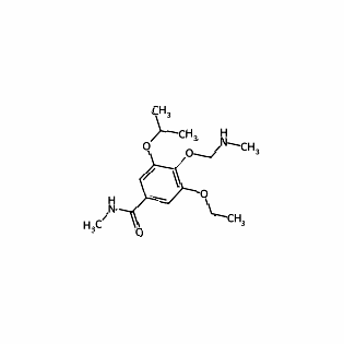 CCOc1cc(C(=O)NC)cc(OC(C)C)c1OCNC